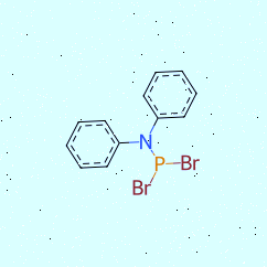 BrP(Br)N(c1ccccc1)c1ccccc1